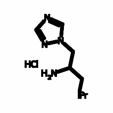 CC(C)CC(N)Cn1cncn1.Cl